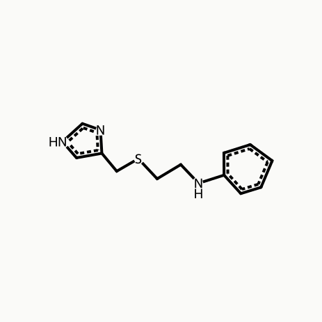 c1ccc(NCCSCc2c[nH]cn2)cc1